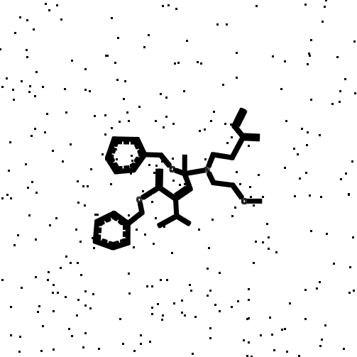 C=CC(=C)CCN(CCOC)C(C)(/C=C(\C(=C)OCc1ccccc1)C(C)C)OCc1ccccc1